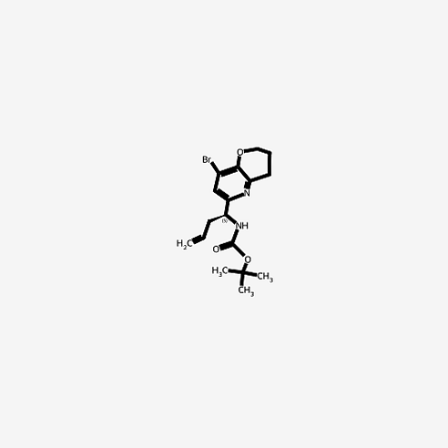 C=CC[C@H](NC(=O)OC(C)(C)C)c1cc(Br)c2c(n1)CCCO2